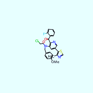 COc1ccc(CN(C(=O)CCl)c2cc(-c3scnc3C)cnc2C(=O)c2ccccc2F)cc1